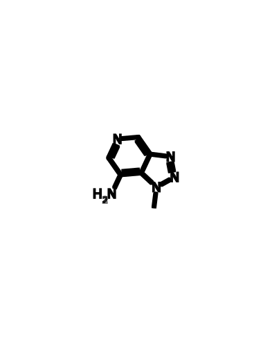 Cn1nnc2cncc(N)c21